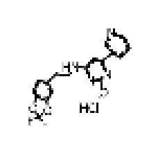 COc1nc(NCCc2ccc3c(c2)OC(F)(F)O3)cc(-c2cccnc2)n1.Cl